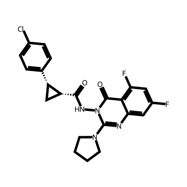 O=C(Nn1c(N2CCCC2)nc2cc(F)cc(F)c2c1=O)[C@@H]1C[C@@H]1c1ccc(Cl)cc1